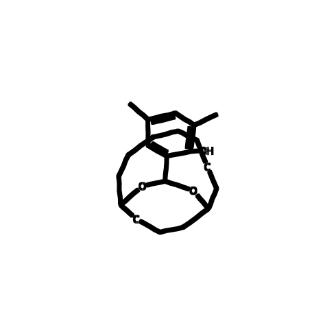 Cc1cc(C)c(O)c(C2OC3CCCCCCCC(CCC3)O2)c1